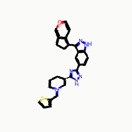 C1=CC2=C(c3n[nH]c4ccc(-c5n[nH]c([C@@H]6CCCN(Cc7cccs7)C6)n5)cc34)CCC2=CO1